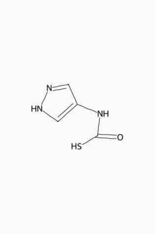 O=C(S)Nc1cn[nH]c1